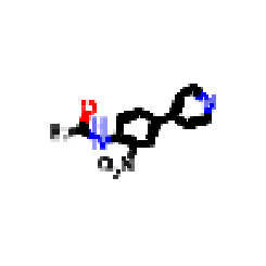 CCC(=O)Nc1ccc(-c2ccncc2)cc1[N+](=O)[O-]